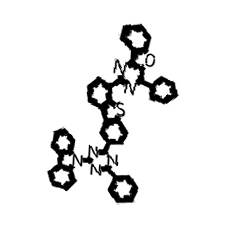 c1ccc(-c2nc(-c3ccc4sc5c(-c6nc(-c7ccccc7)c7oc8ccccc8c7n6)cccc5c4c3)nc(-n3c4ccccc4c4ccccc43)n2)cc1